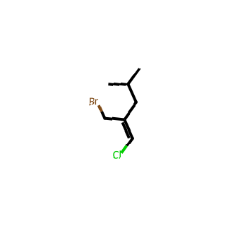 CC(C)C/C(=C/Cl)CBr